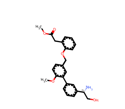 COC(=O)Cc1ccccc1OCc1ccc(OC)c(-c2cccc([C@H](N)CO)c2)c1